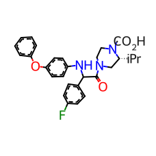 CC(C)[C@@H]1CN(C(=O)C(Nc2ccc(Oc3ccccc3)cc2)c2ccc(F)cc2)CCN1C(=O)O